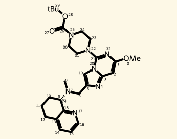 COc1cc2nc(CN(C)[C@H]3CCCc4cccnc43)cn2c(N2CCN(C(=O)OC(C)(C)C)CC2)n1